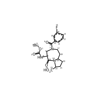 CC(C)(C)OC(=O)NC1CN(C(=O)c2cccc(F)c2)CCC2CCC(C(=O)O)N2C1=O